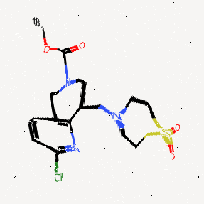 CC(C)(C)OC(=O)N1Cc2ccc(Cl)nc2C(N2CCS(=O)(=O)CC2)C1